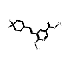 COC(=O)c1cnc(OC)c(C=CC2CCC(F)(F)CC2)c1